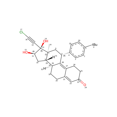 CC(C)(C)c1ccc([C@H]2C[C@@]3(C)[C@@H](C[C@@H](O)[C@]3(O)C#CCl)[C@@H]3CCC4=CC(=O)CCC4=C32)cc1